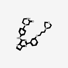 O=C1CN(c2ccc(Nc3nc(-c4cccc(OCCCN5CCOCC5)c4)nc4ccsc34)cc2)CCN1